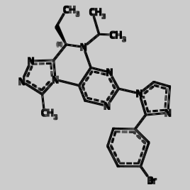 CC[C@@H]1c2nnc(C)n2-c2cnc(-n3ccnc3-c3cccc(Br)c3)nc2N1C(C)C